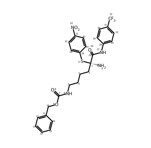 N[C@](CCCCNC(=O)OCc1ccccc1)(Sc1ccc([N+](=O)[O-])cc1)C(=O)Nc1ccc(C(F)(F)F)cc1